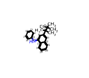 CCC(C)(C)C(C)(C)c1cc(Nc2ccccc2)c2ccccc2c1